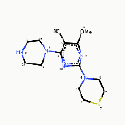 COc1nc(N2CCSCC2)nc(N2CCNCC2)c1C#N